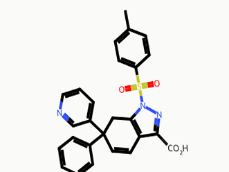 Cc1ccc(S(=O)(=O)n2nc(C(=O)O)c3c2CC(c2ccccc2)(c2cccnc2)C=C3)cc1